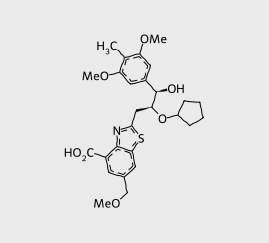 COCc1cc(C(=O)O)c2nc(C[C@H](OC3CCCC3)[C@H](O)c3cc(OC)c(C)c(OC)c3)sc2c1